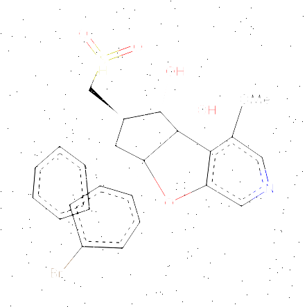 COc1cncc2c1[C@]1(O)[C@@H](O)[C@H](C[SH](=O)=O)[C@@H](c3ccccc3)[C@]1(c1ccc(Br)cc1)O2